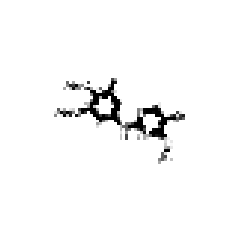 CCOc1nc(Nc2cc(C)c(OC)c(OC)c2)ncc1Br